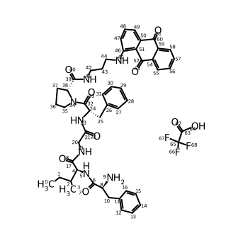 CCC(C)[C@H](NC(=O)[C@@H](N)Cc1ccccc1)C(=O)NCC(=O)N[C@@H](Cc1ccccc1)C(=O)N1CCC[C@@H]1C(=O)NCCCNc1cccc2c1C(=O)c1ccccc1C2=O.O=C(O)C(F)(F)F